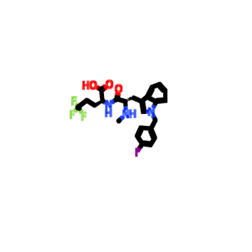 CN[C@@H](Cc1cn(Cc2ccc(I)cc2)c2ccccc12)C(=O)N[C@@H](CCC(F)(F)F)C(=O)O